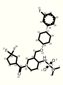 CN(C)S(=O)(=O)NC1CCN(C(=O)C2CCC(F)(F)C2)CC1CO[C@H]1CC[C@@H](c2cccc(F)c2)CC1